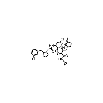 CC(C)C[C@H](NC(=O)OC1CCCC1Cc1cccc(Cl)c1)C(=O)N[C@@H](C[C@H]1CCNC1)C(=O)C(=O)NC1CC1